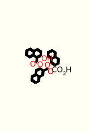 O=C(Oc1c(C(=O)O)ccc2ccccc12)c1cc2ccccc2cc1OC(=O)c1c(O)ccc2ccccc12